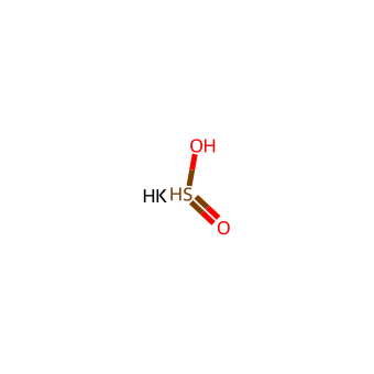 O=[SH]O.[KH]